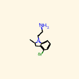 CC1Cc2c(Br)cccc2N1CCN